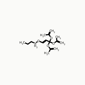 C=C(C)OC(C=CO[SiH2]CCC)(OC(=C)C)OC(=C)C